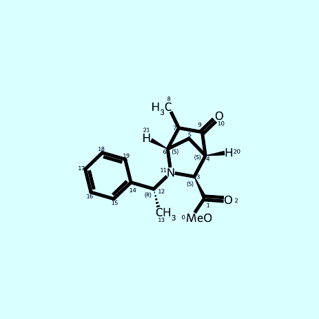 COC(=O)[C@@H]1[C@@H]2C[C@@H](C(C)C2=O)N1[C@H](C)c1ccccc1